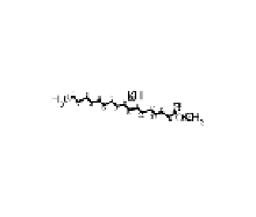 CCCCCCCCCCCCCCCCCC(=O)OC.[KH]